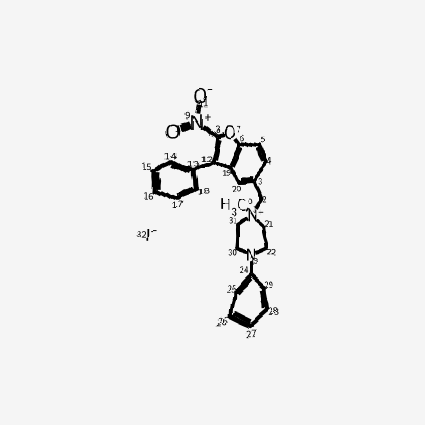 C[N+]1(Cc2ccc3oc([N+](=O)[O-])c(-c4ccccc4)c3c2)CCN(c2ccccc2)CC1.[I-]